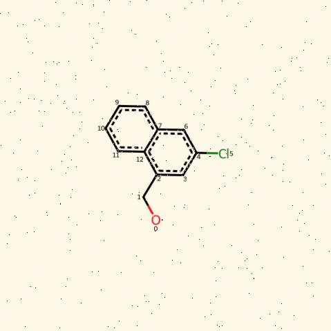 [O]Cc1cc(Cl)cc2ccccc12